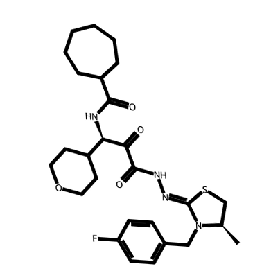 C[C@@H]1CS/C(=N\NC(=O)C(=O)[C@H](NC(=O)C2CCCCCC2)C2CCOCC2)N1Cc1ccc(F)cc1